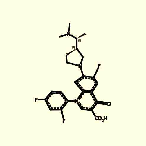 C[C@H]([C@H]1CCN(c2cc3c(cc2F)c(=O)c(C(=O)O)cn3-c2ccc(F)cc2F)C1)N(C)C